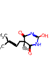 CC(C)=CCC1(C(C)(C)C)C(=O)N=C(O)NC1=O